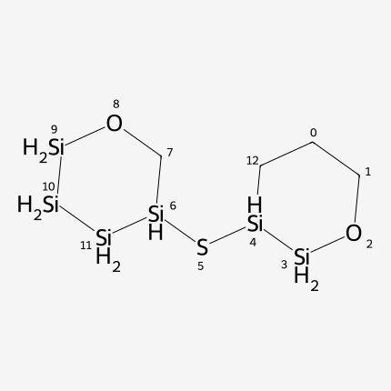 C1CO[SiH2][SiH](S[SiH]2CO[SiH2][SiH2][SiH2]2)C1